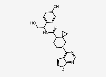 N#Cc1ccc(C(CO)NC(=O)C2CCN(c3ncnc4[nH]ccc34)CC23CC3)cc1